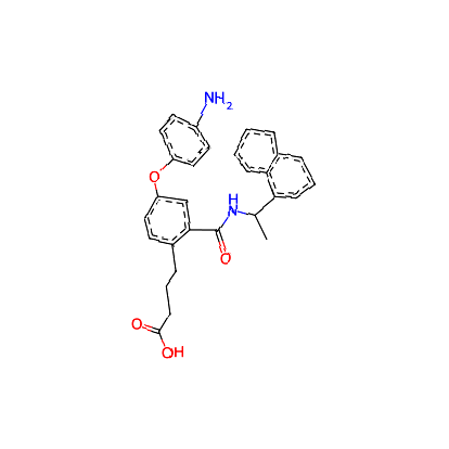 CC(NC(=O)c1cc(Oc2ccc(N)cc2)ccc1CCCC(=O)O)c1cccc2ccccc12